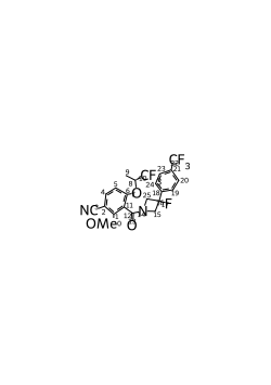 COc1c(C#N)ccc(O[C@@H](C)C(F)(F)F)c1C(=O)N1CC(F)(c2ccc(C(F)(F)F)cc2)C1